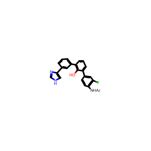 CC(=O)Nc1ccc(-c2cccc(-c3cccc(-c4c[nH]cn4)c3)c2O)cc1F